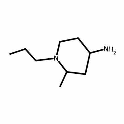 CCCN1CCC(N)CC1C